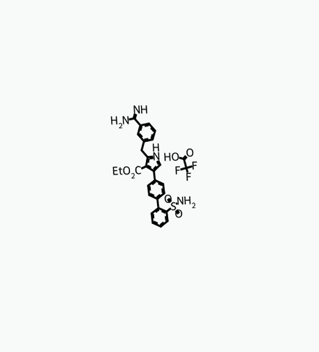 CCOC(=O)c1c(-c2ccc(-c3ccccc3S(N)(=O)=O)cc2)c[nH]c1Cc1cccc(C(=N)N)c1.O=C(O)C(F)(F)F